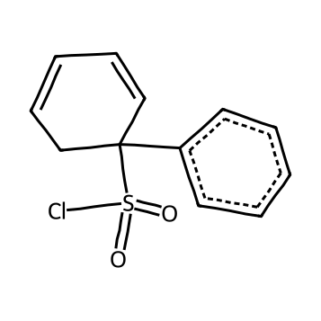 O=S(=O)(Cl)C1(c2ccccc2)C=CC=CC1